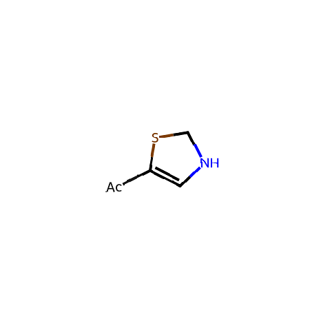 CC(=O)C1=CNCS1